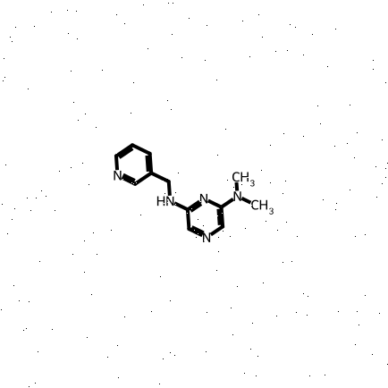 CN(C)c1cncc(NCc2cccnc2)n1